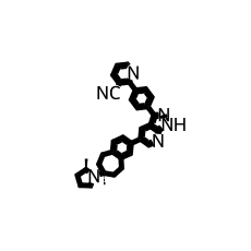 C[C@@H]1CCCN1[C@@]1(C)CCc2ccc(-c3cnc4[nH]nc(-c5ccc(-c6ncccc6C#N)cc5)c4c3)cc2CC1